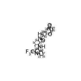 O=C(N[C@@H]1CCC[C@H](Nc2cc(C(F)(F)F)nc3ccccc23)C1)C1CCC(CN2C(=O)C=CC2=O)CC1